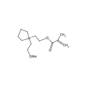 C=C(C)C(=O)OCC[N+]1(CCOC)CCCC1